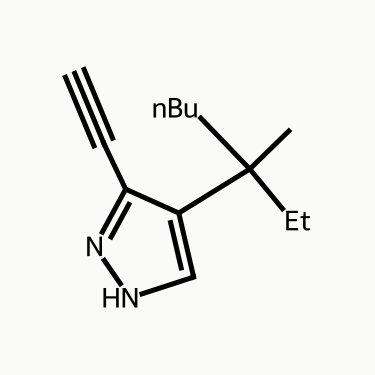 C#Cc1n[nH]cc1C(C)(CC)CCCC